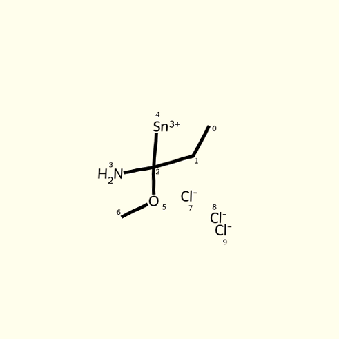 CC[C](N)([Sn+3])OC.[Cl-].[Cl-].[Cl-]